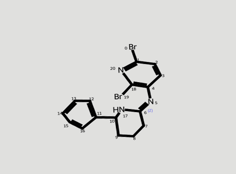 Brc1ccc(/N=C2/CCCC(c3ccccc3)N2)c(Br)n1